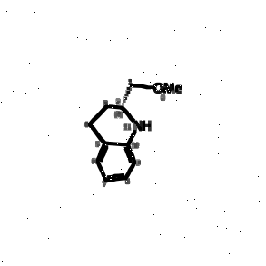 COC[C@H]1CCc2ccccc2N1